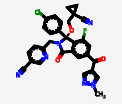 Cn1cc(C(=O)c2cc(F)c3c(c2)C(=O)N(Cc2ccc(C#N)cn2)[C@@]3(OCC2(C#N)CC2)c2ccc(Cl)cc2)cn1